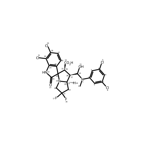 CN(c1cc(Cl)cc(Cl)c1)C(O)[C@H]1[C@H]2CC(F)(F)CN2C2(C(=O)Nc3c2ccc(Cl)c3Cl)[C@H]1C(=O)O